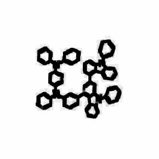 c1ccc(N(c2ccccc2)c2ccc(N(c3ccccc3)c3cccc(-c4cc(-c5cccc6c5c5ccccc5n6-c5ccccc5)cc5c4c4ccccc4n5-c4ccccc4)c3)cc2)cc1